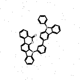 O=c1oc2c(ccc3c4ccccc4n(-c4cccc(-c5ccc6c(c5)c5ccccc5n6-c5ccccc5)c4)c32)c2ccccc12